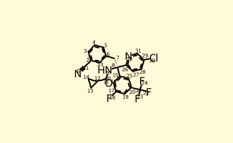 N#Cc1cccc(C[C@@](NC(=O)C2CC2)(c2cc(F)cc(C(F)(F)F)c2)c2ccc(Cl)cn2)c1